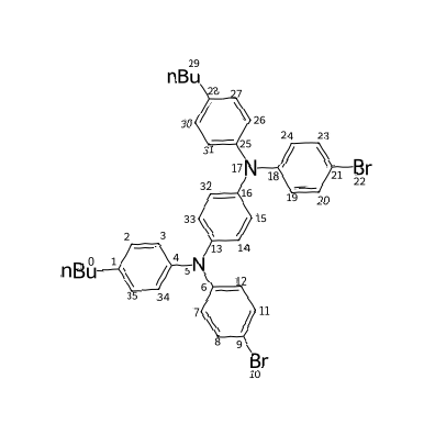 CCCCc1ccc(N(c2ccc(Br)cc2)c2ccc(N(c3ccc(Br)cc3)c3ccc(CCCC)cc3)cc2)cc1